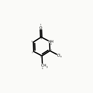 Cc1ccc(=O)[nH]c1Cl